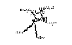 CCCCCCCCCCCCCCCCCCN(CCCCCCCCCCCCCCCCCC)C(=O)CN1CCN(CC(=O)NCC(=O)OCC)CCN(CC(=O)NCC(=O)OCC)CCN(CC(=O)NCC(=O)OCC)CC1